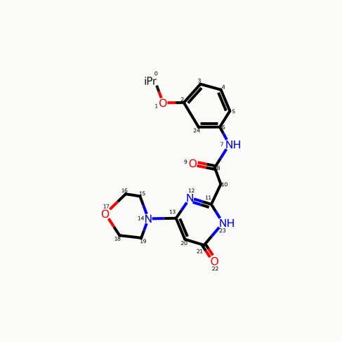 CC(C)Oc1cccc(NC(=O)Cc2nc(N3CCOCC3)cc(=O)[nH]2)c1